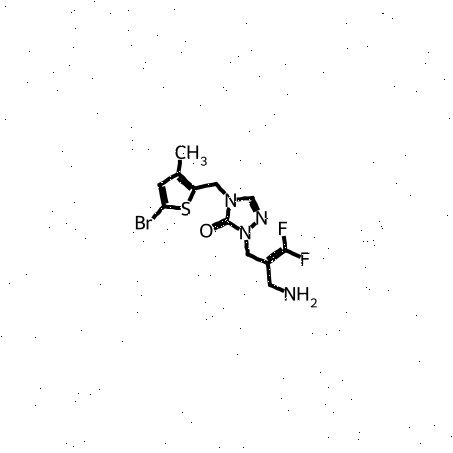 Cc1cc(Br)sc1Cn1cnn(CC(CN)=C(F)F)c1=O